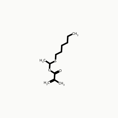 C=C(C)C(=O)OC(C)SCCCCCC